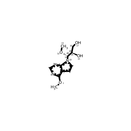 COc1ncnc2c1ccn2[C@H](OC)[C@H](O)CO